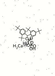 CC(C)(C)c1ccc(C(OP(=O)(O)OP(=O)(O)O)c2ccc(C(C)(C)C)cc2C(C)(C)C)c(C(C)(C)C)c1.[CaH2]